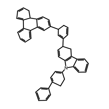 C1=CCC2C(=C1)c1ccccc1-c1cc(C3C=C(C4C=Cc5c(c6ccccc6n5C5=CC=C(c6ccccc6)CC5)C4)C=CC3)ccc12